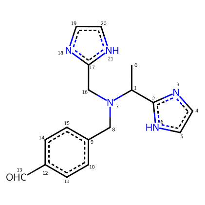 CC(c1ncc[nH]1)N(Cc1ccc(C=O)cc1)Cc1ncc[nH]1